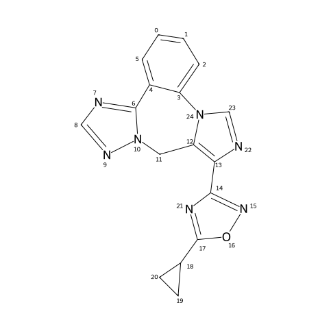 c1ccc2c(c1)-c1ncnn1Cc1c(-c3noc(C4CC4)n3)ncn1-2